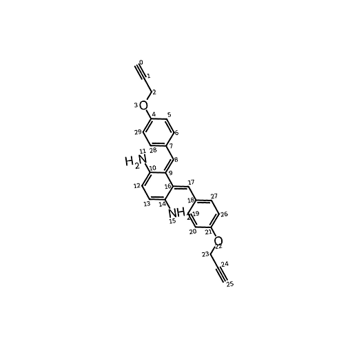 C#CCOc1ccc(C=c2c(N)ccc(N)c2=Cc2ccc(OCC#C)cc2)cc1